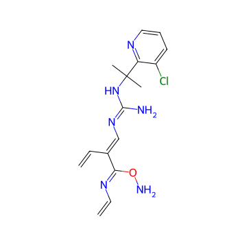 C=C/N=C(ON)/C(C=C)=C/N=C(\N)NC(C)(C)c1ncccc1Cl